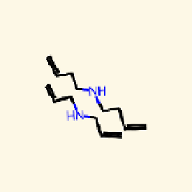 C=CCCNCCC=C.C=CCNCC=C